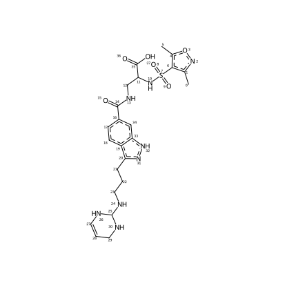 Cc1noc(C)c1S(=O)(=O)NC(CNC(=O)c1ccc2c(CCCNC3NC=CCN3)n[nH]c2c1)C(=O)O